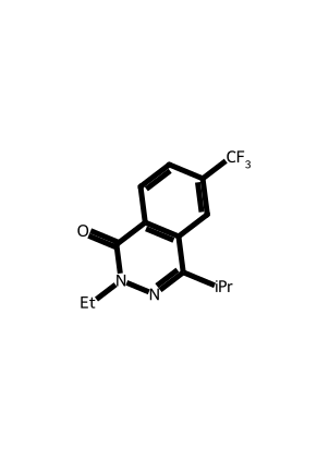 CCn1nc(C(C)C)c2cc(C(F)(F)F)ccc2c1=O